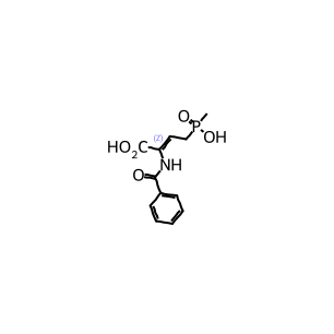 CP(=O)(O)C/C=C(\NC(=O)c1ccccc1)C(=O)O